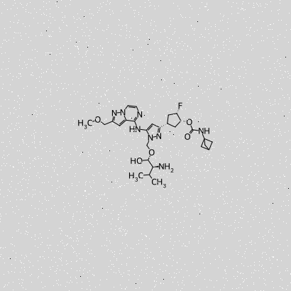 COCc1cc2c(Nc3cc([C@@H]4C[C@H](F)[C@H](OC(=O)NC56CC(C5)C6)C4)nn3COC(O)[C@@H](N)C(C)C)nccn2n1